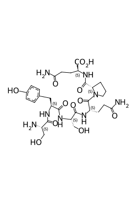 NC(=O)CC[C@H](NC(=O)[C@@H]1CCCN1C(=O)[C@H](CCC(N)=O)NC(=O)[C@H](CO)NC(=O)[C@H](Cc1ccc(O)cc1)NC(=O)[C@@H](N)CO)C(=O)O